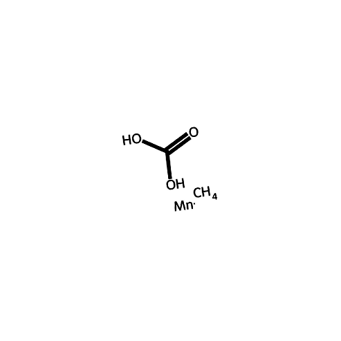 C.O=C(O)O.[Mn]